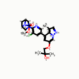 CC(C)(O)COc1cc(-c2cnc(N3CC4CC(C3)N4C(=O)OC(C)(C)C)c(F)c2)c2c(C#N)cnn2c1